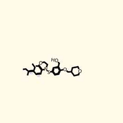 CC/C(C)=C(/C=C\C1=C(C)OCCN1Sc1ccc(OCC2CCOCC2)c(CO)c1)CC